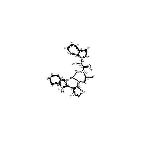 CC1CN(c2scnc2-c2nc3ccccc3[nH]2)CCN1C(=O)C(I)n1ccc2cccnc21